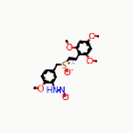 COc1cc(OC)c(/C=C/[S+]([O-])Cc2ccc(OC)c(NN=O)c2)c(OC)c1